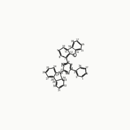 c1ccc(-c2cc(-c3cccc4c3oc3ccccc34)nc(-n3c4ccccc4c4ccccc43)n2)cc1